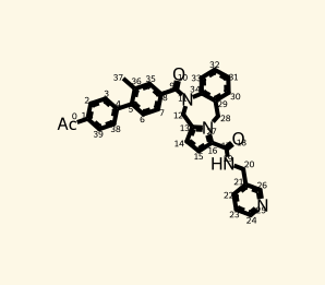 CC(=O)c1ccc(-c2ccc(C(=O)N3Cc4ccc(C(=O)NCc5cccnc5)n4Cc4ccccc43)cc2C)cc1